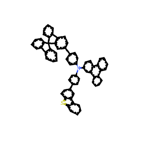 c1ccc2c(c1)-c1ccccc1C21c2ccccc2-c2ccc(-c3ccc(N(c4ccc(-c5ccc6sc7ccccc7c6c5)cc4)c4ccc5c6ccccc6c6ccccc6c5c4)cc3)cc21